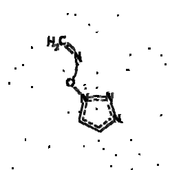 C=NOn1ccnn1